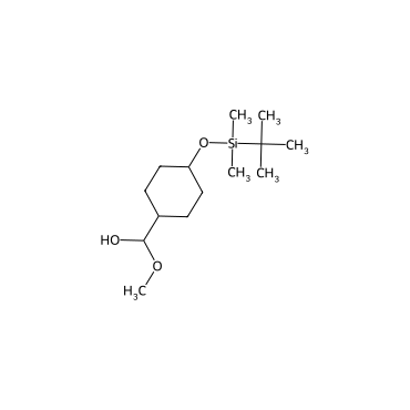 COC(O)C1CCC(O[Si](C)(C)C(C)(C)C)CC1